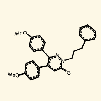 COc1ccc(-c2cc(=O)n(CCCc3ccccc3)nc2-c2ccc(OC)cc2)cc1